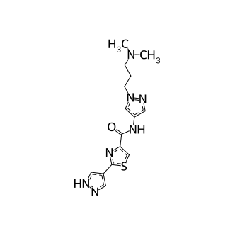 CN(C)CCCn1cc(NC(=O)c2csc(-c3cn[nH]c3)n2)cn1